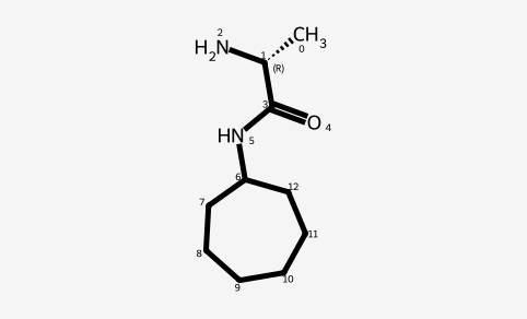 C[C@@H](N)C(=O)NC1CCCCCC1